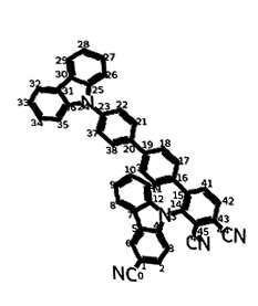 N#Cc1ccc2c(c1)c1ccccc1n2-c1c(-c2ccc(-c3ccc(-n4c5ccccc5c5ccccc54)cc3)cc2)ccc(C#N)c1C#N